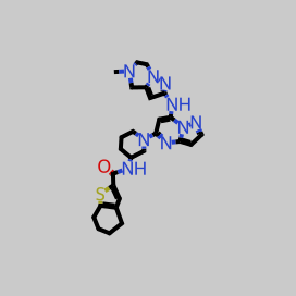 CN1CCn2nc(Nc3cc(N4CCCC(NC(=O)c5cc6c(s5)CCCC6)C4)nc4ccnn34)cc2C1